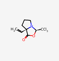 C=C[C@@]12CCCN1[C@@H](C(Cl)(Cl)Cl)OC2=O